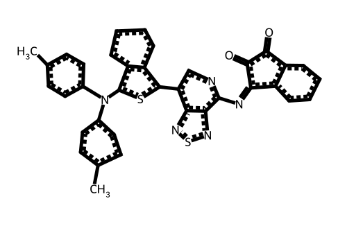 Cc1ccc(N(c2ccc(C)cc2)c2sc(-c3cnc(/N=c4\c(=O)c(=O)c5ccccc45)c4nsnc34)c3ccccc23)cc1